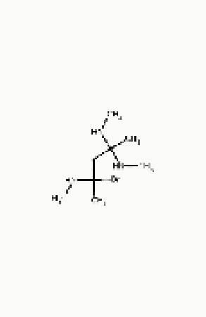 CNC(C)(Br)CC(C)(NC)NC